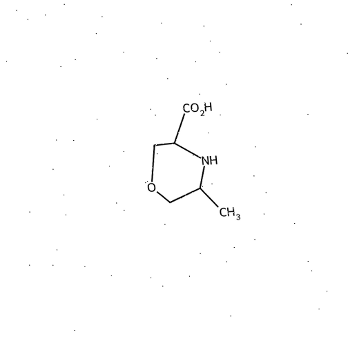 CC1COCC(C(=O)O)N1